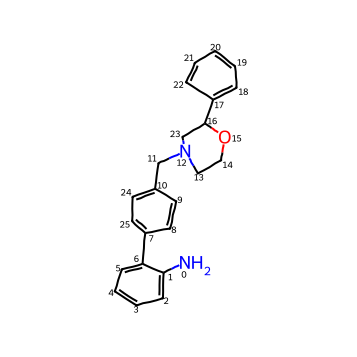 Nc1ccccc1-c1ccc(CN2CCOC(c3ccccc3)C2)cc1